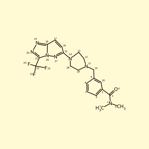 CN(C)C(=O)c1cccc(CN2CCN(c3ccc4nnc(C(F)(F)F)n4n3)CC2)c1